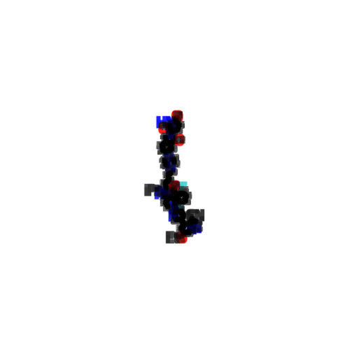 CCOc1cc(-c2ccc(N3CCC(CN(C(=O)CCCCN4CCN(c5ccc6c(c5)C(=O)N(C5CCC(=O)NC5=O)C6)CC4)C(C)C)(NC(=O)c4cc(F)ccc4F)CC3)nc2)c2c(C#N)cnn2c1